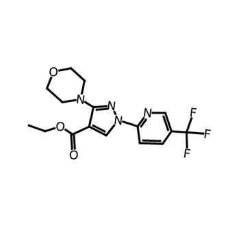 CCOC(=O)c1cn(-c2ccc(C(F)(F)F)cn2)nc1N1CCOCC1